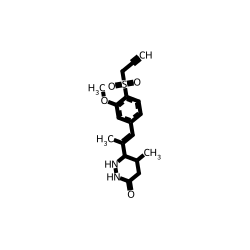 C#CCS(=O)(=O)c1ccc(/C=C(\C)C2NNC(=O)CC2C)cc1OC